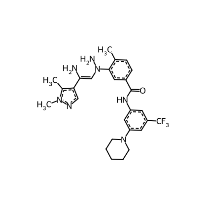 Cc1ccc(C(=O)Nc2cc(N3CCCCC3)cc(C(F)(F)F)c2)cc1N(N)/C=C(\N)c1cnn(C)c1C